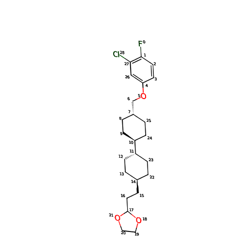 Fc1ccc(OC[C@H]2CC[C@H]([C@H]3CC[C@H](CCC4OCCO4)CC3)CC2)cc1Cl